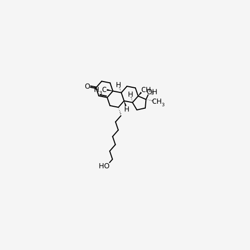 C[C@]12CCC(=O)C=C1C[C@@H](CCCCCCCO)[C@@H]1[C@@H]2CC[C@@]2(C)[C@H]1CC[C@]2(C)O